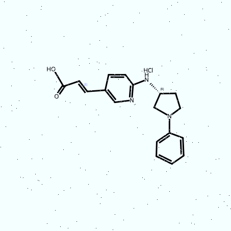 Cl.O=C(O)/C=C/c1ccc(N[C@@H]2CCN(c3ccccc3)C2)nc1